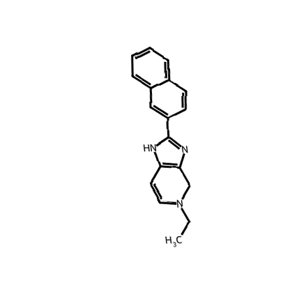 CCN1C=Cc2[nH]c(-c3ccc4ccccc4c3)nc2C1